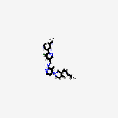 C\C=C/C(=C\C(C)=C\CC)c1ncc(CNc2nccc(N3CCC(C)=C(/C=C\C=C\CCC)C3)c2C)cc1F